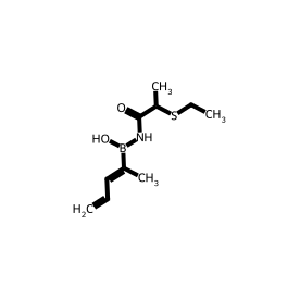 C=C/C=C(\C)B(O)NC(=O)C(C)SCC